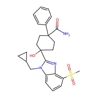 CS(=O)(=O)c1cccc2c1nc(C1(O)CCC(C(N)=O)(c3ccccc3)CC1)n2CC1CC1